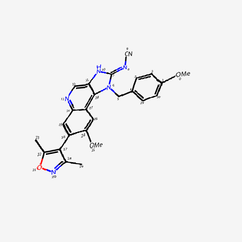 COc1ccc(Cn2c(=NC#N)[nH]c3cnc4cc(-c5c(C)noc5C)c(OC)cc4c32)cc1